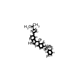 CN(C)c1nc(-c2cnc3[nH]cc(C(=O)c4c(F)ccc(NS(=O)(=O)c5cc(F)ccc5F)c4F)c3c2)cs1